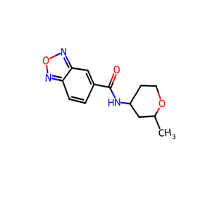 CC1CC(NC(=O)c2ccc3nonc3c2)CCO1